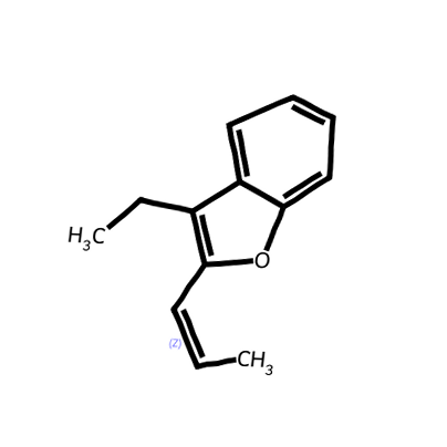 C/C=C\c1oc2ccccc2c1CC